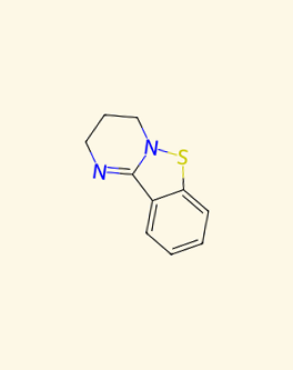 c1ccc2c(c1)SN1CCCN=C21